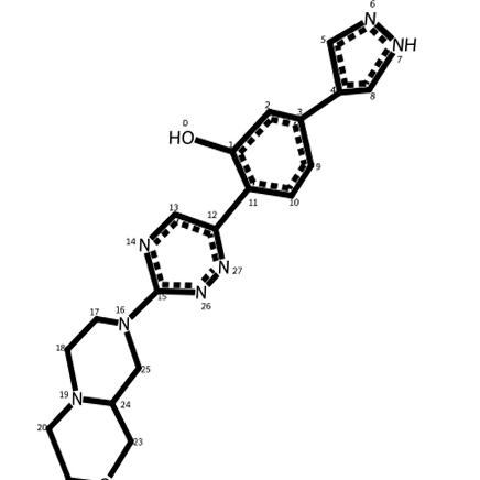 Oc1cc(-c2cn[nH]c2)ccc1-c1cnc(N2CCN3CCOCC3C2)nn1